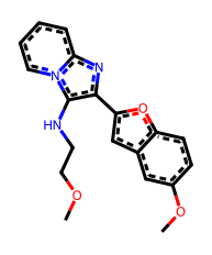 COCCNc1c(-c2cc3cc(OC)ccc3o2)nc2ccccn12